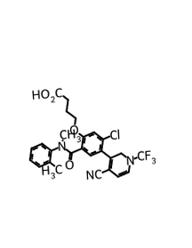 Cc1ccccc1N(C)C(=O)c1cc(C2=C(C#N)C=CN(C(F)(F)F)C2)c(Cl)cc1OCCCC(=O)O